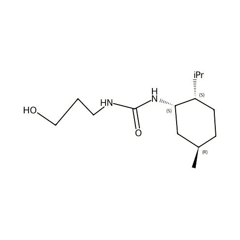 CC(C)[C@@H]1CC[C@@H](C)C[C@@H]1NC(=O)NCCCO